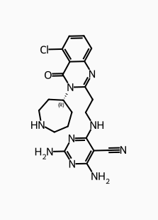 N#Cc1c(N)nc(N)nc1NCCc1nc2cccc(Cl)c2c(=O)n1[C@@H]1CCCNCC1